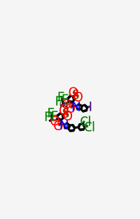 CC(Oc1ccc(S(C)(=O)=O)cc1C(=O)N1Cc2ccc(-c3ccc(Cl)c(Cl)c3)cc2C1)C(F)(F)F.C[C@H](Oc1ccc(S(C)(=O)=O)cc1C(=O)N1Cc2ccc(I)cc2C1)C(F)(F)F